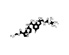 CCOC(=O)c1cnn2ccc(NC(C)c3cc(F)cc4c3O[C@](C)(CNC(=O)OC(C)(C)C)C4)nc12